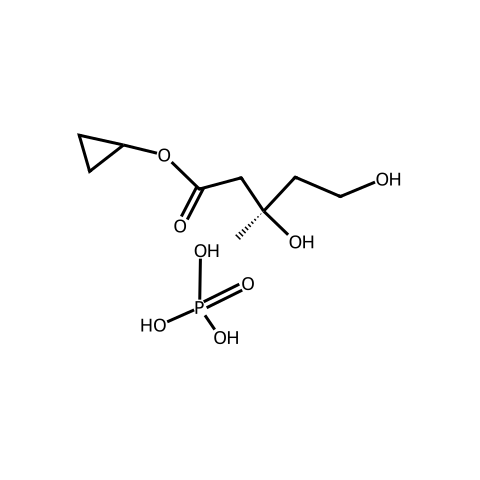 C[C@@](O)(CCO)CC(=O)OC1CC1.O=P(O)(O)O